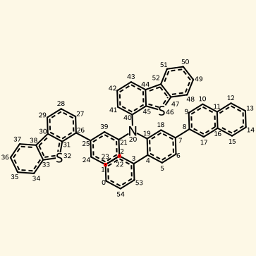 c1ccc(-c2ccc(-c3ccc4ccccc4c3)cc2N(c2cccc(-c3cccc4c3sc3ccccc34)c2)c2cccc3c2sc2ccccc23)cc1